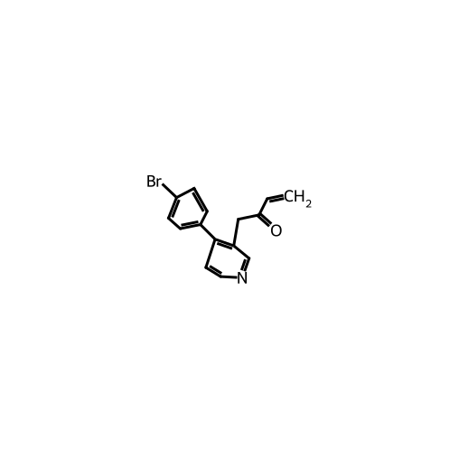 C=CC(=O)Cc1cnccc1-c1ccc(Br)cc1